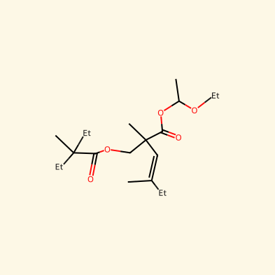 CCOC(C)OC(=O)C(C)(/C=C(\C)CC)COC(=O)C(C)(CC)CC